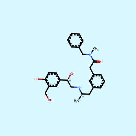 C[C@H](Cc1cccc(CC(=O)N(C)Cc2ccccc2)c1)NC[C@H](O)c1ccc(O)c(CO)c1